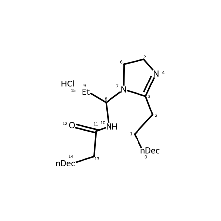 CCCCCCCCCCCCC1=NCCN1C(CC)NC(=O)CCCCCCCCCCC.Cl